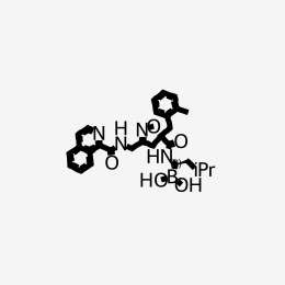 Cc1ccccc1CC1(C(=O)N[C@@H](CC(C)C)B(O)O)CC(CNC(=O)c2nccc3ccccc23)=NO1